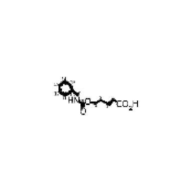 O=C(O)C=CCCOC(=O)NCc1ccccc1